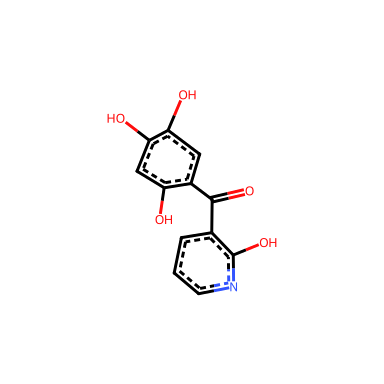 O=C(c1cc(O)c(O)cc1O)c1cccnc1O